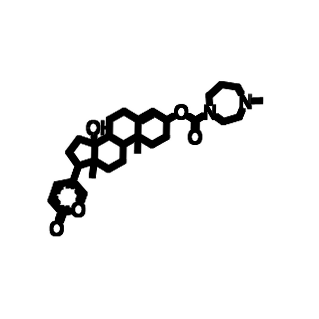 CN1CCCN(C(=O)OC2C=C3CCC4C(CCC5(C)C(c6ccc(=O)oc6)CCC45O)C3(C)CC2)CC1